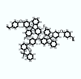 C=Cc1ccc(OC2=CCC(C3(c4ccc(F)cc4)c4ccccc4-c4ccc(N(c5ccc(-c6cccc7c6Oc6ccccc6C7(C)C)cc5)c5ccc6c(c5)C(c5ccc(F)cc5)(c5ccc(Oc7ccc(C=C)cc7)cc5)c5ccccc5-6)cc43)C=C2)cc1